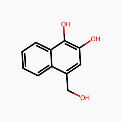 OCc1cc(O)c(O)c2ccccc12